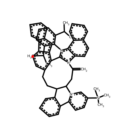 C=C1CC2C(CCc3ccc4c(sc5ccccc54)c3-c3n(-c4c(C(C)C)cccc4C(C)C)c4c5ccccc5ccc4[n+]31)c1ccccc1-c1ccc([Si](C)(C)C)c[n+]12